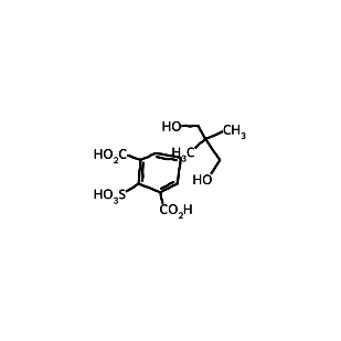 CC(C)(CO)CO.O=C(O)c1cccc(C(=O)O)c1S(=O)(=O)O